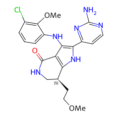 COCC[C@H]1CNC(=O)c2c1[nH]c(-c1ccnc(N)n1)c2Nc1cccc(Cl)c1OC